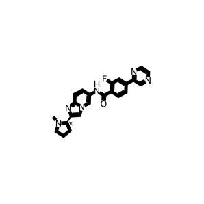 CN1CCC[C@@H]1c1cn2cc(NC(=O)c3ccc(-c4cnccn4)cc3F)ccc2n1